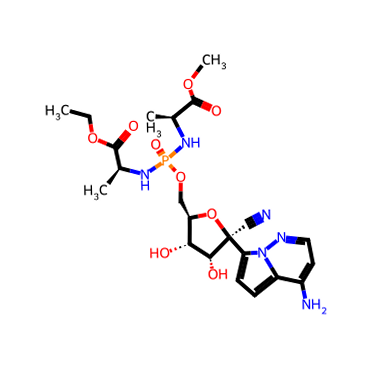 CCOC(=O)[C@H](C)NP(=O)(N[C@@H](C)C(=O)OC)OC[C@H]1O[C@@](C#N)(c2ccc3c(N)ccnn23)[C@H](O)[C@@H]1O